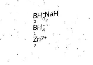 [BH4-].[BH4-].[NaH].[Zn+2]